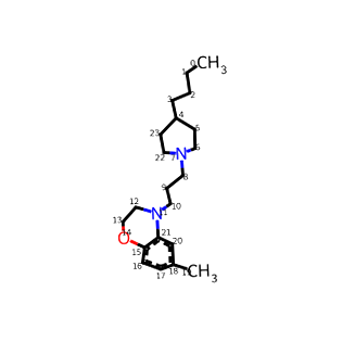 CCCCC1CCN(CCCN2CCOc3ccc(C)cc32)CC1